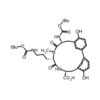 CN1C(=O)[C@@H](NC(=O)OC(C)(C)C)Cc2cc(ccc2O)-c2ccc(O)c(c2)C[C@@H](C(=O)O)NC(=O)[C@@H]1CCCNC(=O)OC(C)(C)C